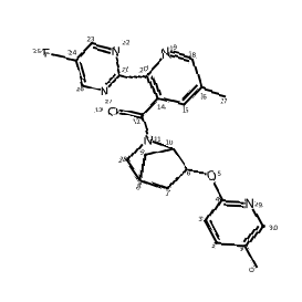 Cc1ccc(OC2CC3CC2N(C(=O)c2cc(C)cnc2-c2ncc(F)cn2)C3)nc1